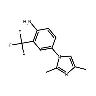 Cc1cn(-c2ccc(N)c(C(F)(F)F)c2)c(C)n1